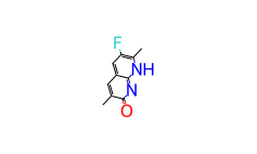 Cc1[nH]c2nc(=O)c(C)cc-2cc1F